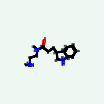 CNCCN(C)C(=O)CCC1CNc2ccccc21